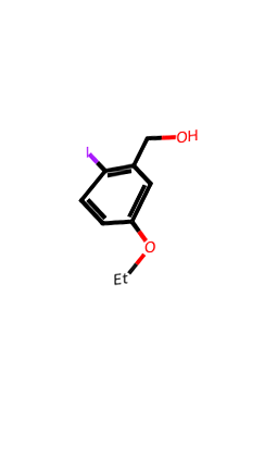 CCOc1ccc(I)c(CO)c1